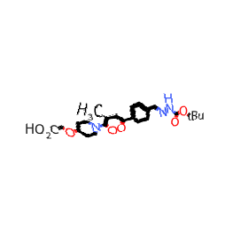 C[C@H](CC(=O)c1ccc(C=NNC(=O)OC(C)(C)C)cc1)C(=O)N1CCC(OCC(=O)O)CC1